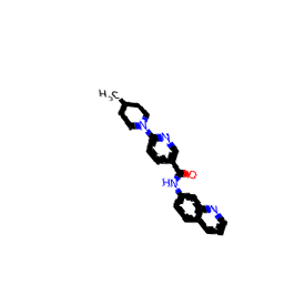 CC1CCN(c2ccc(C(=O)Nc3ccc4cccnc4c3)cn2)CC1